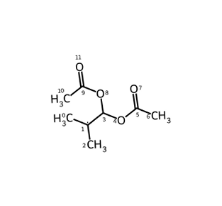 C[C](C)C(OC(C)=O)OC(C)=O